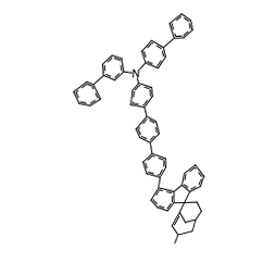 CC1C=C2CC(CCC23c2ccccc2-c2c(-c4ccc(-c5ccc(-c6ccc(N(c7ccc(-c8ccccc8)cc7)c7cccc(-c8ccccc8)c7)cc6)cc5)cc4)cccc23)C1